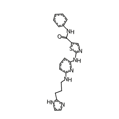 O=C(Nc1ccccc1)c1cnc(Nc2cccc(NCCCc3ncc[nH]3)n2)s1